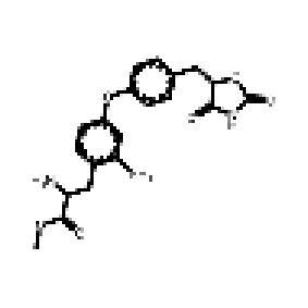 COC(=O)C(N)Cc1ccc(Oc2ccc(CC3OC(=O)NC3=O)cc2)cc1N